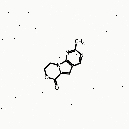 Cc1ncc2cc3n(c2n1)CCOC3=O